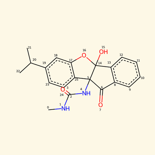 CNC(=O)NC12C(=O)c3ccccc3C1(O)Oc1cc(C(C)C)ccc12